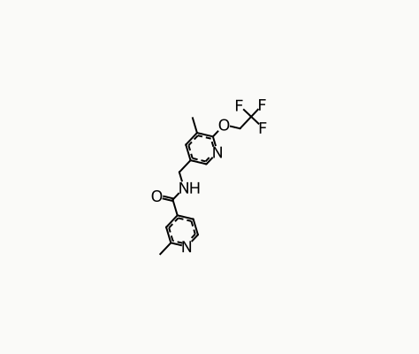 Cc1cc(C(=O)NCc2cnc(OCC(F)(F)F)c(C)c2)ccn1